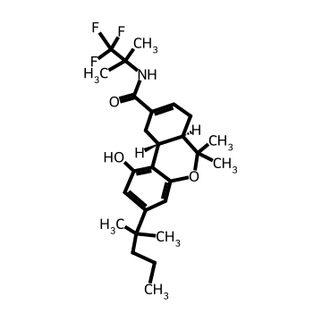 CCCC(C)(C)c1cc(O)c2c(c1)OC(C)(C)[C@@H]1CC=C(C(=O)NC(C)(C)C(F)(F)F)C[C@@H]21